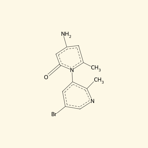 Cc1ncc(Br)cc1-n1c(C)cc(N)cc1=O